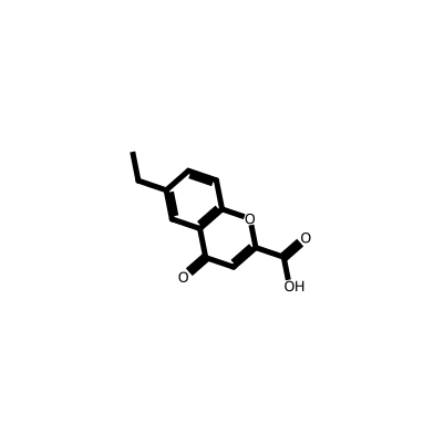 CCc1ccc2oc(C(=O)O)cc(=O)c2c1